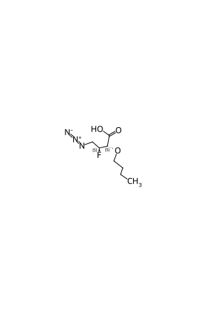 CCCCO[C@@H](C(=O)O)[C@@H](F)CN=[N+]=[N-]